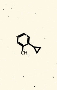 Cc1c[c]ccc1C1CC1